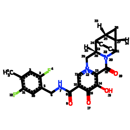 Cc1cc(F)c(CNC(=O)c2cn3c(c(O)c2=O)C(=O)N2C4CCC([C@@H]5C[C@H]45)[C@@H]2C3)cc1F